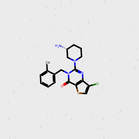 N#Cc1ccccc1Cn1c(N2CCC[C@@H](N)C2)nc2c(Cl)csc2c1=O